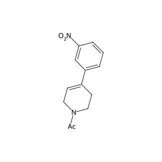 CC(=O)N1CC=C(c2cccc([N+](=O)[O-])c2)CC1